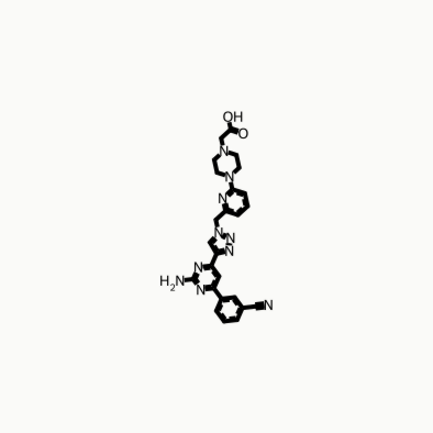 N#Cc1cccc(-c2cc(-c3cn(Cc4cccc(N5CCN(CC(=O)O)CC5)n4)nn3)nc(N)n2)c1